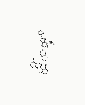 Nc1nc(N2CCN3CC(CN(Cc4c(F)cccc4F)Cc4c(F)cccc4F)CCC3C2)nc2nc(-c3ccco3)nn12